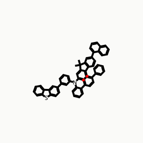 CC1(C)c2cc(-c3cccc4ccccc34)ccc2-c2ccc(N(c3cccc(-c4ccc5sc6ccccc6c5c4)c3)c3ccccc3-c3ccc(-c4ccccc4)cc3)cc21